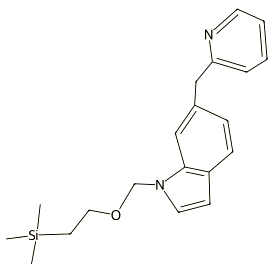 C[Si](C)(C)CCOCn1ccc2ccc(Cc3ccccn3)cc21